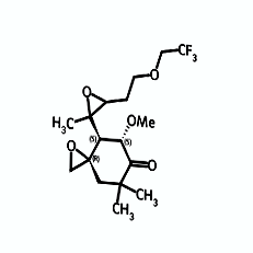 CO[C@@H]1C(=O)C(C)(C)C[C@]2(CO2)[C@H]1C1(C)OC1CCOCC(F)(F)F